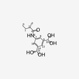 CCC(C)C(=O)Nc1cc(C(O)O)cc(C(O)O)c1